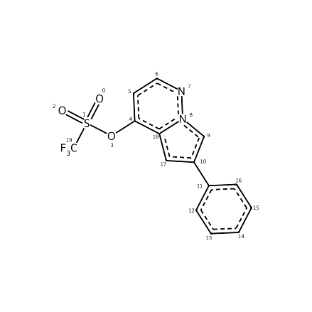 O=S(=O)(Oc1ccnn2cc(-c3ccccc3)cc12)C(F)(F)F